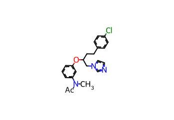 CC(=O)N(C)c1cccc(OC(CCc2ccc(Cl)cc2)Cn2ccnc2)c1